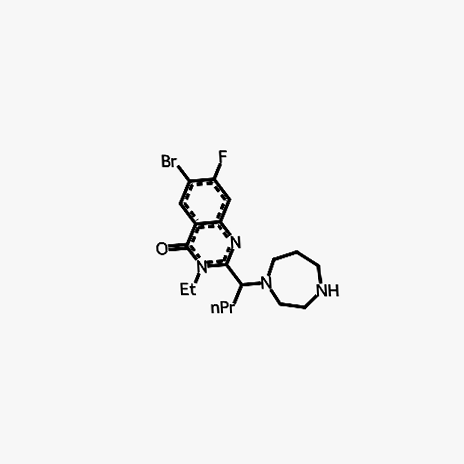 CCCC(c1nc2cc(F)c(Br)cc2c(=O)n1CC)N1CCCNCC1